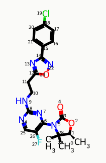 C[C@@H]1OC(=O)N(c2nc(NCCc3nc(-c4ccc(Cl)cc4)no3)ncc2F)C1(C)C